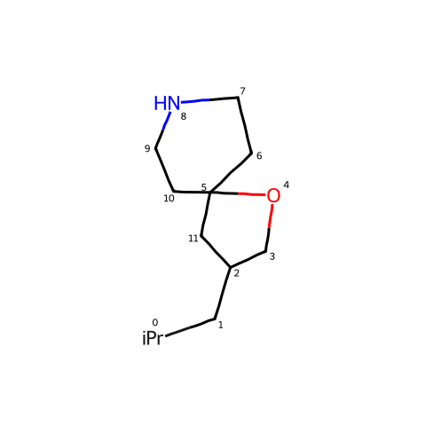 CC(C)CC1COC2(CCNCC2)C1